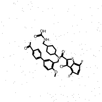 COc1ccc(-c2ccc(C(C)=O)cc2)cc1CN(C(=O)c1sc2c(F)ccc(F)c2c1Cl)C1CCC(CNC(=O)O)CC1